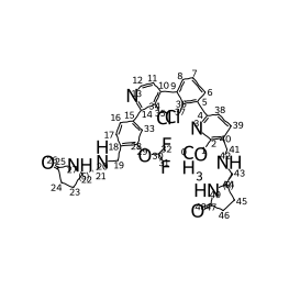 COc1nc(-c2cccc(-c3ccnc(-c4ccc(CNC[C@@H]5CCC(=O)N5)c(OC(F)F)c4)c3Cl)c2Cl)ccc1CNC[C@H]1CCC(=O)N1